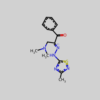 Cc1nsc(N/N=C(\CN(C)C)C(=O)c2ccccc2)n1